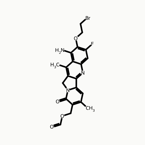 Cc1cc2n(c(=O)c1COC=O)Cc1c-2nc2cc(F)c(OCCBr)c(N)c2c1C